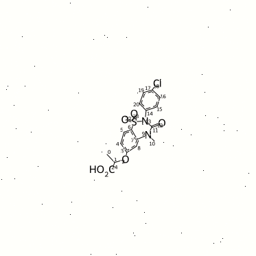 CC(Oc1ccc2c(c1)N(C)C(=O)N(c1ccc(Cl)cc1)S2(=O)=O)C(=O)O